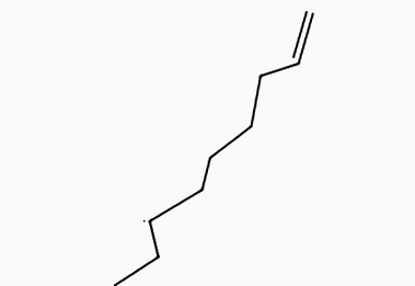 C=CCCCC[CH]CC